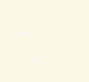 CCc1ncnc(-c2ccc(C(=O)NCC3(C)COC3)c(Cl)c2)c1-c1ccc(N)nc1